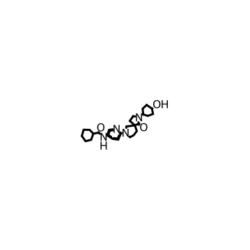 O=C(Nc1ccc(N2CCCC3(CCN(C4CCC(O)CC4)C3=O)C2)nc1)C1CCCCC1